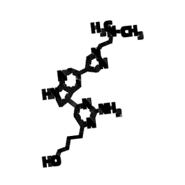 CN(C)CCn1cc(-c2cnc3[nH]cc(-c4cc(CCCCO)nc(N)n4)c3c2)cn1